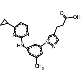 Cc1cc(Nc2nccc(C3CC3)n2)cc(-n2cc(CCC(=O)O)cn2)c1